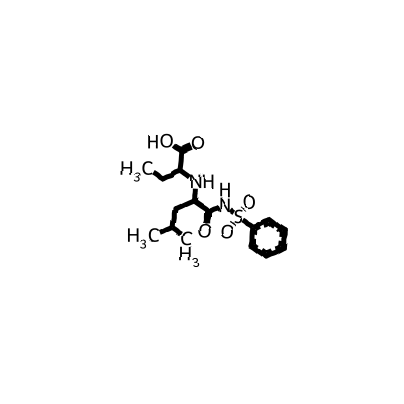 CCC(NC(CC(C)C)C(=O)NS(=O)(=O)c1ccccc1)C(=O)O